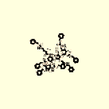 O=N[C@@H]1[C@@H](NC(=O)OCc2ccccc2)[C@@H](O[C@H]2[C@H](O[C@@H]3O[C@H](CO)[C@@H](O[C@H]4O[C@@H](CNC(=O)OCc5ccccc5)[C@@H](O)[C@H](N=O)[C@H]4NC(=O)OCc4ccccc4)[C@H]3OCCNCCc3ccccc3)[C@@H](O)[C@H](NC(=O)[C@@H](O)CCNC(=O)OCc3ccccc3)C[C@@H]2NC(=O)OCc2ccccc2)O[C@@H]2COC(c3ccccc3)O[C@@H]12